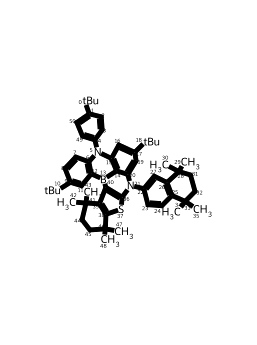 CC(C)(C)c1ccc(N2c3ccc(C(C)(C)C)cc3B3c4c2cc(C(C)(C)C)cc4N(c2ccc4c(c2)C(C)(C)CCC4(C)C)c2sc4c(c23)C(C)(C)CCC4(C)C)cc1